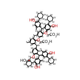 Cc1cc(Cc2ccc(OCC(=O)O)c(C(c3cc(C4CCCCC4)c(O)cc3C)c3cc(C4CCCCC4)c(O)cc3C)c2)c(OCC(=O)O)c(Cc2ccc(OCC(=O)O)c(C(c3cc(C4CCCCC4)c(O)cc3C)c3cc(C4CCCCC4)c(O)cc3C)c2)c1